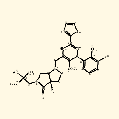 CCOC(=O)C1=C(CN2CCC3(F)C(=O)N(CC(C)(C)C(=O)O)CC23)NC(c2nccs2)=N[C@H]1c1cccc(F)c1C